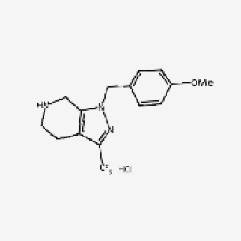 COc1ccc(Cn2nc(C(F)(F)F)c3c2CNCC3)cc1.Cl